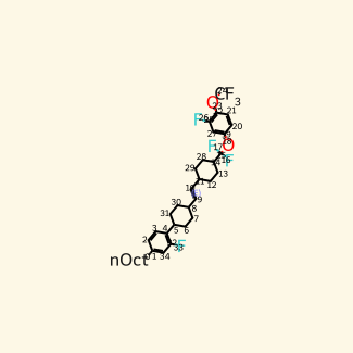 CCCCCCCCc1ccc(C2CCC(/C=C/C3CCC(C(F)(F)Oc4ccc(OC(F)(F)F)c(F)c4)CC3)CC2)c(F)c1